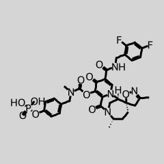 CC1=NO[C@@]2(CC[C@H](C)N3C[C@H]2n2cc(C(=O)NCc4ccc(F)cc4F)c(=O)c(OC(=O)N(C)Cc4ccc(OP(=O)(O)O)cc4)c2C3=O)C1